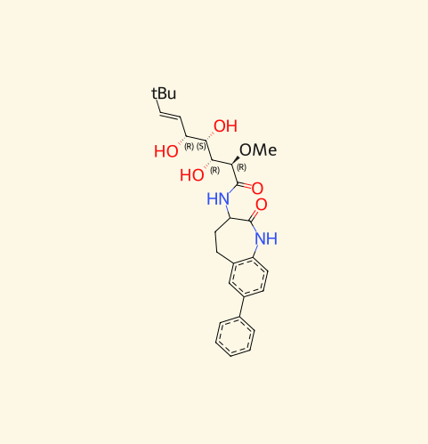 CO[C@@H](C(=O)NC1CCc2cc(-c3ccccc3)ccc2NC1=O)[C@H](O)[C@@H](O)[C@H](O)C=CC(C)(C)C